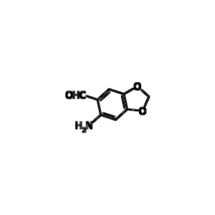 Nc1cc2c(cc1C=O)OCO2